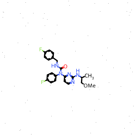 COCC(C)Nc1nccc(N(C(=O)NCc2ccc(F)cc2)c2ccc(F)cc2)n1